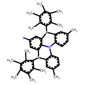 Cc1ccc2c(c1)B(c1c(C)c(C)c(C)c(C)c1C)c1cc(I)cc3c1N2c1ccc(C)cc1B3c1c(C)c(C)c(C)c(C)c1C